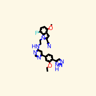 CCOc1cc(-c2cc(NCCn3c(C#N)cc4c(OC)ccc(F)c43)ncn2)ccc1-c1cnn[nH]1